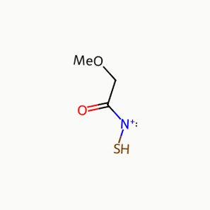 COCC(=O)[N+]S